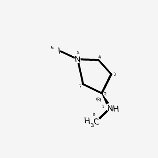 CN[C@@H]1CCN(I)C1